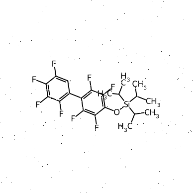 CC(C)[Si](Oc1c(F)c(F)c(-c2[c]c(F)c(F)c(F)c2F)c(F)c1F)(C(C)C)C(C)C